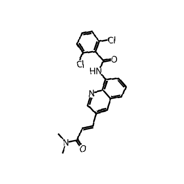 CN(C)C(=O)C=Cc1cnc2c(NC(=O)c3c(Cl)cccc3Cl)cccc2c1